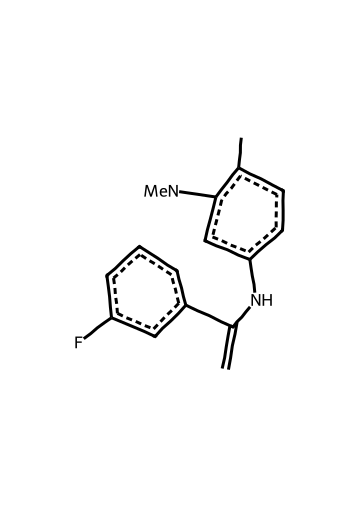 C=C(Nc1ccc(C)c(NC)c1)c1cccc(F)c1